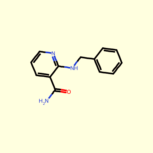 NC(=O)c1cccnc1NCc1ccccc1